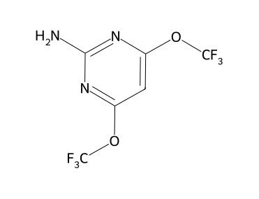 Nc1nc(OC(F)(F)F)cc(OC(F)(F)F)n1